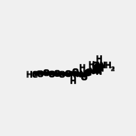 C#CCOCCOCCOCCOCCOCCOCCNC(=O)CCCNC(=O)c1ccc(NCc2cnc3nc(N)[nH]c(=O)c3n2)cc1